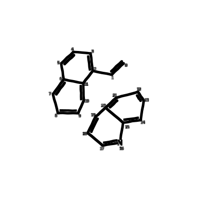 C=Cc1cccc2ccccc12.c1ccc2ncccc2c1